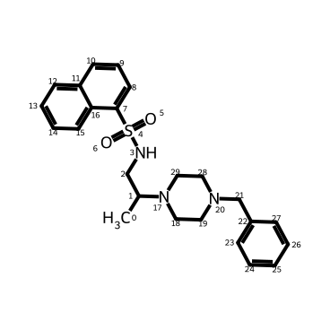 CC(CNS(=O)(=O)c1cccc2ccccc12)N1CCN(Cc2ccccc2)CC1